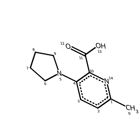 Cc1ccc(N2CCCC2)c(C(=O)O)n1